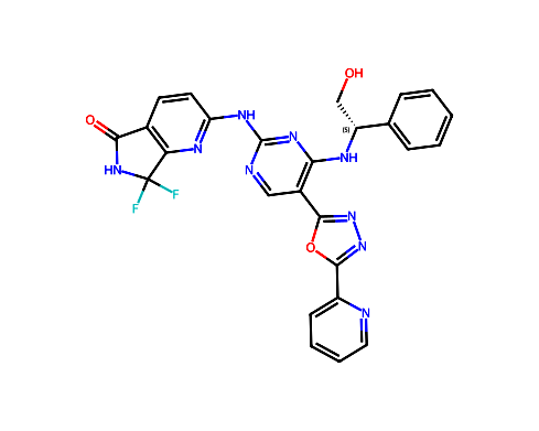 O=C1NC(F)(F)c2nc(Nc3ncc(-c4nnc(-c5ccccn5)o4)c(N[C@H](CO)c4ccccc4)n3)ccc21